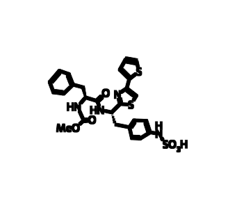 COC(=O)N[C@@H](Cc1ccccc1)C(=O)N[C@@H](Cc1ccc(NS(=O)(=O)O)cc1)c1nc(-c2cc#cs2)cs1